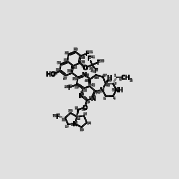 CC[C@@H]1NCCN2c3nc(OC[C@@]45CCCN4C[C@H](F)C5)nc4c(F)c(-c5cc(O)cc6ccc(F)c(OC(F)(F)F)c56)nc(c34)CC[C@H]12